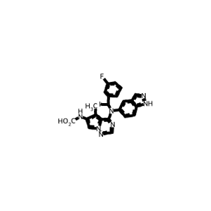 Cc1c(NC(=O)O)cn2ncnc(N(c3ccc4[nH]ncc4c3)C(I)c3cccc(F)c3)c12